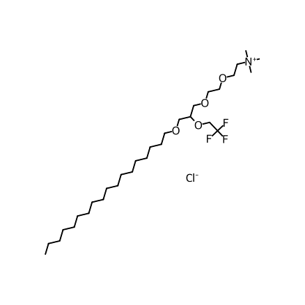 CCCCCCCCCCCCCCCCCCOCC(COCCOCC[N+](C)(C)C)OCC(F)(F)F.[Cl-]